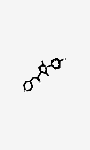 Cc1cc(C(=O)CC2CCOCC2)c(C)n1-c1ccc(Cl)cc1